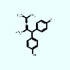 CC(C)=C=C(C(=O)O)C(c1ccc(O)cc1)c1ccc(O)cc1